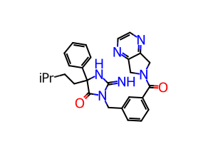 CC(C)CCC1(c2ccccc2)NC(=N)N(Cc2cccc(C(=O)N3Cc4nccnc4C3)c2)C1=O